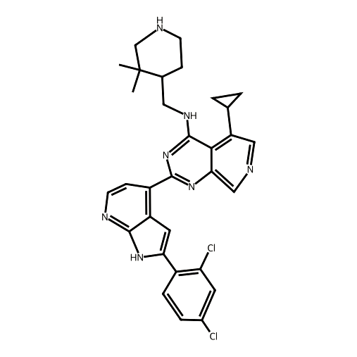 CC1(C)CNCCC1CNc1nc(-c2ccnc3[nH]c(-c4ccc(Cl)cc4Cl)cc23)nc2cncc(C3CC3)c12